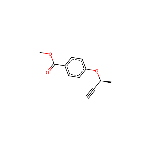 C#C[C@H](C)Oc1ccc(C(=O)OC)cc1